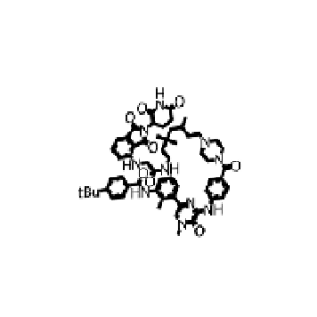 Cc1c(NC(=O)c2ccc(C(C)(C)C)cc2)cccc1-c1cn(C)c(=O)c(Nc2ccc(C(=O)N3CCN(CCC(C)CC(C)(C)CCNC(=O)CNc4cccc5c4C(=O)N(C4CCC(=O)NC4=O)C5=O)CC3)cc2)n1